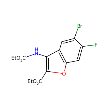 CCOC(=O)Nc1c(C(=O)OCC)oc2cc(F)c(Br)cc12